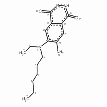 CCCCCCN(CC)c1cc2c(=O)[nH][nH]c(=O)c2cc1N